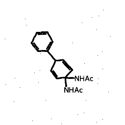 CC(=O)NC1(NC(C)=O)C=CC(c2ccccc2)C=C1